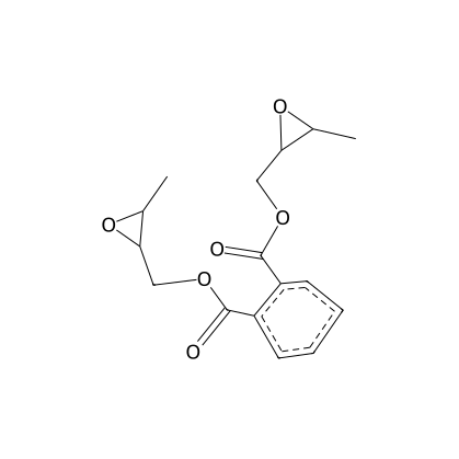 CC1OC1COC(=O)c1ccccc1C(=O)OCC1OC1C